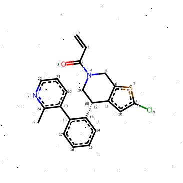 C=CC(=O)N1Cc2sc(Cl)cc2[C@H](c2ccccc2-c2cccnc2C)C1